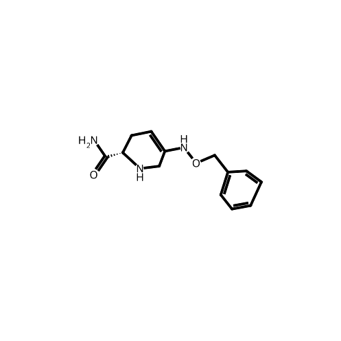 NC(=O)[C@@H]1CC=C(NOCc2ccccc2)CN1